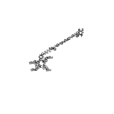 CC(C)(C)OC(=O)CN1CCN(CC(=O)OC(C)(C)C)CCN(CC(=O)OC(C)(C)C)[C@@H](Cc2ccc(OCCCCCCCNC(=O)CCOCCOCCOCCOCCOCCC(=O)Oc3c(F)c(F)cc(F)c3F)cc2)CN(CC(=O)OC(C)(C)C)CC1